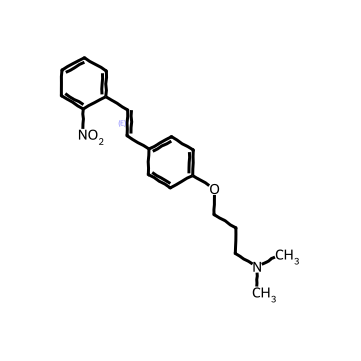 CN(C)CCCOc1ccc(/C=C/c2ccccc2[N+](=O)[O-])cc1